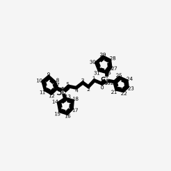 C(CCCCC=[Si](c1ccccc1)c1ccccc1)=[Si](c1ccccc1)c1ccccc1